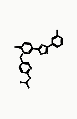 Cc1cccc(-c2noc(-c3ccc(=O)n(Cc4ccc(OC(F)F)nc4)c3)n2)c1